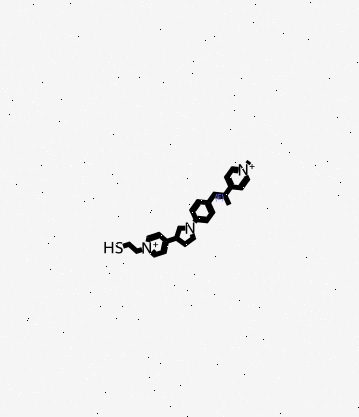 C/C(=C\c1ccc(N2CCC(c3cc[n+](CCS)cc3)C2)cc1)c1cc[n+](C)cc1